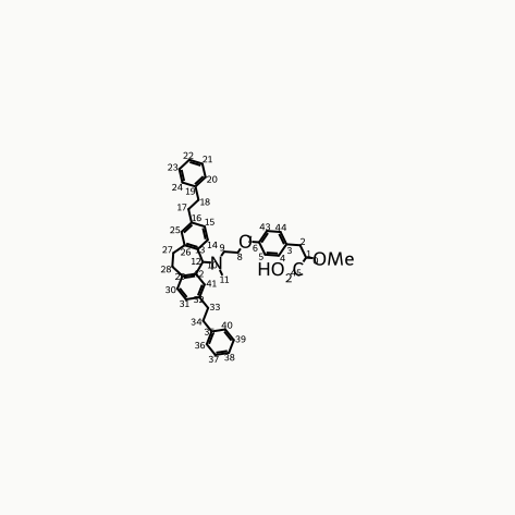 COC(Cc1ccc(OCCN(C)C2c3ccc(CCc4ccccc4)cc3CCc3ccc(CCc4ccccc4)cc32)cc1)C(=O)O